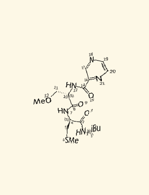 CC[C@@H](C)NC(=O)[C@@H](CSC)NC(=O)[C@H](COC)NC(=O)c1cnccn1